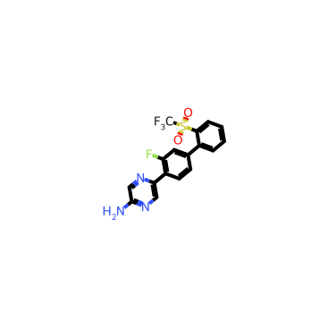 Nc1cnc(-c2ccc(-c3ccccc3S(=O)(=O)C(F)(F)F)cc2F)cn1